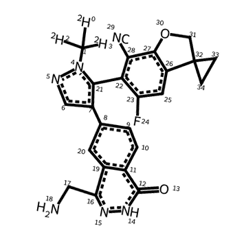 [2H]C([2H])([2H])n1ncc(-c2ccc3c(=O)[nH]nc(CN)c3c2)c1-c1c(F)cc2c(c1C#N)OCC21CC1